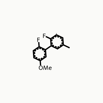 COc1ccc(F)c(-c2cc(C)c[c]c2F)c1